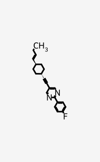 CC/C=C/[C@H]1CC[C@H](C#Cc2cnc(-c3ccc(F)cc3)nc2)CC1